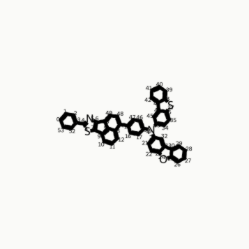 c1ccc(-c2nc3c(s2)-c2cccc4c(-c5ccc(N(c6ccc7oc8ccccc8c7c6)c6ccc7sc8ccccc8c7c6)cc5)ccc-3c24)cc1